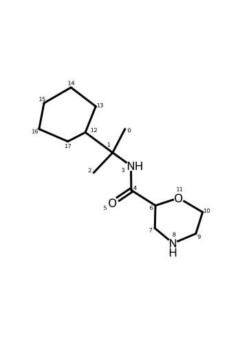 CC(C)(NC(=O)C1CNCCO1)C1CCCCC1